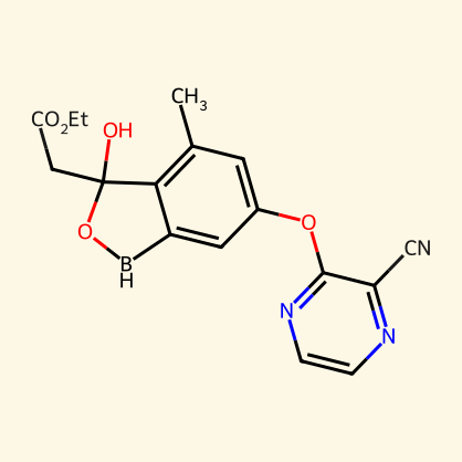 CCOC(=O)CC1(O)OBc2cc(Oc3nccnc3C#N)cc(C)c21